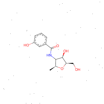 C[C@@H]1O[C@H](CO)[C@H](O)C1NC(=O)c1cccc(O)c1